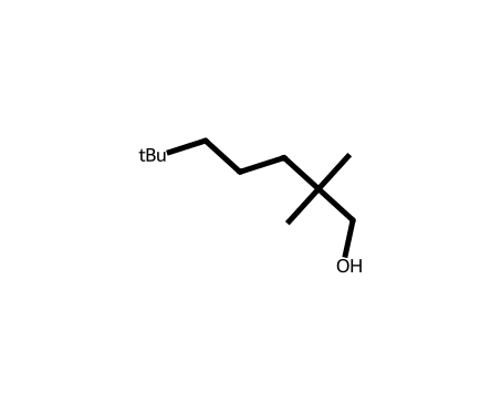 CC(C)(C)CCCC(C)(C)CO